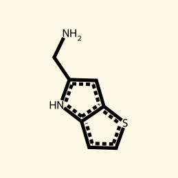 NCc1cc2sccc2[nH]1